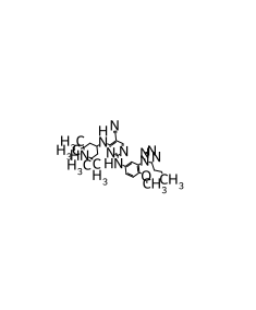 CCCc1nnnn1-c1cc(Nc2ncc(C#N)c(NC3CC(C)(C)NC(C)(C)C3)n2)ccc1OC